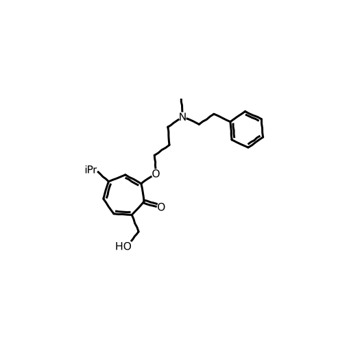 CC(C)c1ccc(CO)c(=O)c(OCCCN(C)CCc2ccccc2)c1